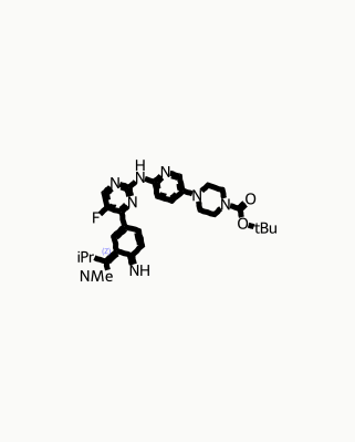 CN/C(=C1/C=C(c2nc(Nc3ccc(N4CCN(C(=O)OC(C)(C)C)CC4)cn3)ncc2F)C=CC1=N)C(C)C